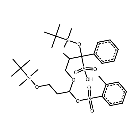 Cc1ccccc1S(=O)(=O)OC(CCO[Si](C)(C)C(C)(C)C)OCC(C)C(O[Si](C)(C)C(C)(C)C)(c1ccccc1)S(=O)(=O)O